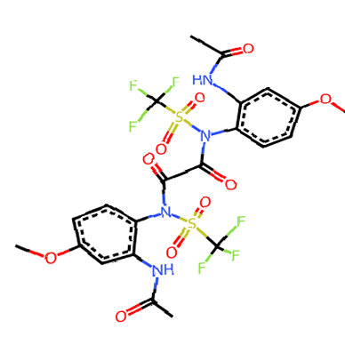 COc1ccc(N(C(=O)C(=O)N(c2ccc(OC)cc2NC(C)=O)S(=O)(=O)C(F)(F)F)S(=O)(=O)C(F)(F)F)c(NC(C)=O)c1